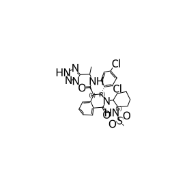 CC(NC(=O)[C@@H]1c2ccccc2C(=O)N(C2CCCC[C@@H]2NS(C)(=O)=O)[C@H]1c1ccc(Cl)cc1Cl)c1nn[nH]n1